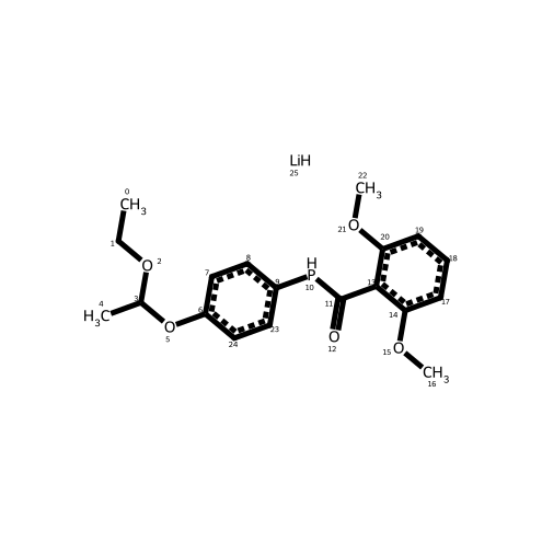 CCOC(C)Oc1ccc(PC(=O)c2c(OC)cccc2OC)cc1.[LiH]